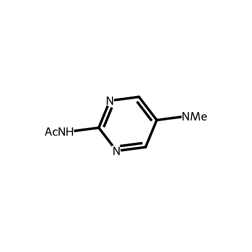 CNc1cnc(NC(C)=O)nc1